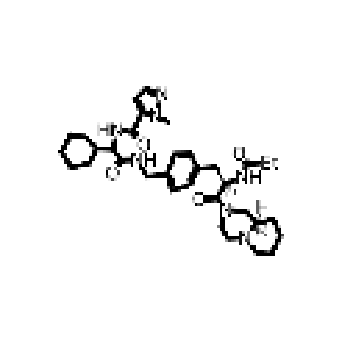 CCC(=O)N[C@H](Cc1ccc(CNC(=O)C(NC(=O)c2ccnn2C)C2CCCCC2)cc1)C(=O)N1CCN2CCCC[C@@H]2C1